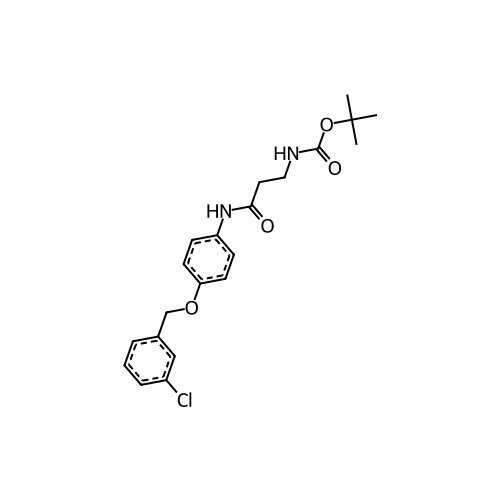 CC(C)(C)OC(=O)NCCC(=O)Nc1ccc(OCc2cccc(Cl)c2)cc1